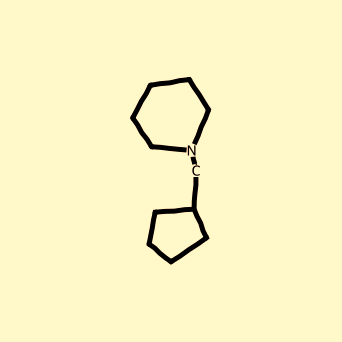 [CH](C1CCCC1)N1CCCCC1